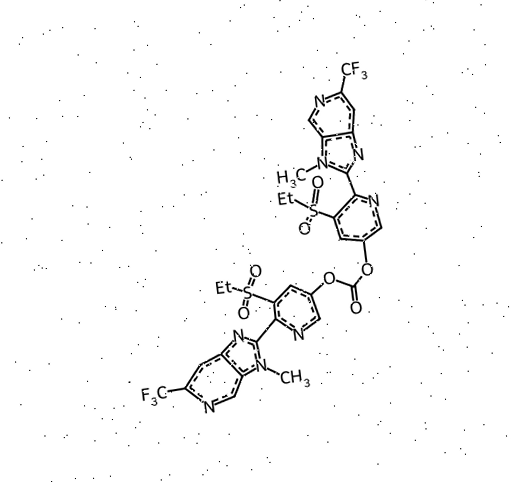 CCS(=O)(=O)c1cc(OC(=O)Oc2cnc(-c3nc4cc(C(F)(F)F)ncc4n3C)c(S(=O)(=O)CC)c2)cnc1-c1nc2cc(C(F)(F)F)ncc2n1C